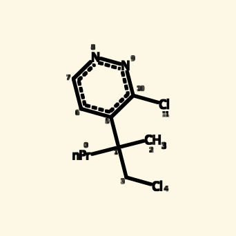 CCCC(C)(CCl)c1ccnnc1Cl